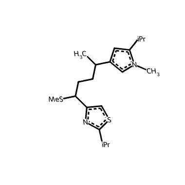 CSC(CCC(C)c1cc(C(C)C)n(C)c1)c1csc(C(C)C)n1